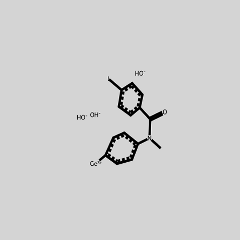 CN(C(=O)c1ccc(I)cc1)c1cc[c]([Ge+3])cc1.[OH-].[OH-].[OH-]